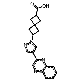 O=C(O)C1CC2(C1)CC(n1cc(-c3cnc4ccccc4n3)cn1)C2